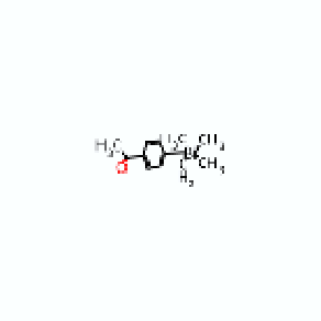 CC(=O)c1ccc([C](C)(C)[Bi]([CH3])[CH3])cc1